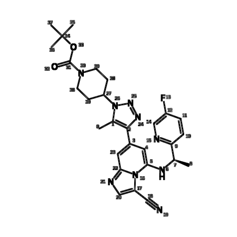 Cc1c(-c2cc(N[C@H](C)c3ccc(F)cn3)n3c(C#N)cnc3c2)nnn1C1CCN(C(=O)OC(C)(C)C)CC1